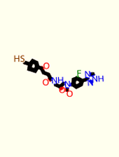 O=C(CCC(=O)c1ccc(CS)cc1)NCC1CN(c2ccc(-c3nc[nH]n3)c(F)c2)C(=O)O1